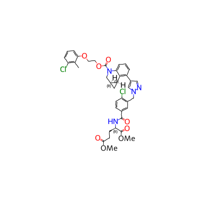 COC(=O)CC[C@@H](NC(=O)c1ccc(Cl)c(Cn2cc(-c3cccc4c3[C@H]3C[C@H]3CN4C(=O)OCCOc3cccc(Cl)c3C)cn2)c1)C(=O)OC